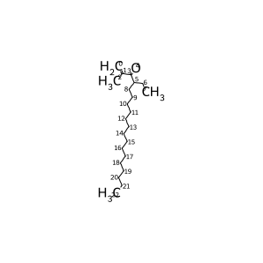 C=C(C)C(=O)C(CC)CCCCCCCCCCCCCCC